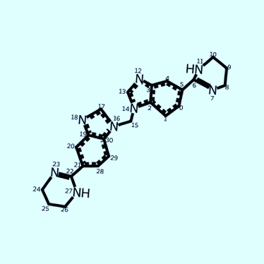 c1cc2c(cc1C1=NCCCN1)ncn2Cn1cnc2cc(C3=NCCCN3)ccc21